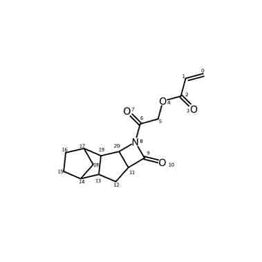 C=CC(=O)OCC(=O)N1C(=O)C2CC3C4CCC(C4)C3C21